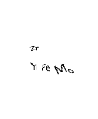 [Fe].[Mo].[Ti].[Zr]